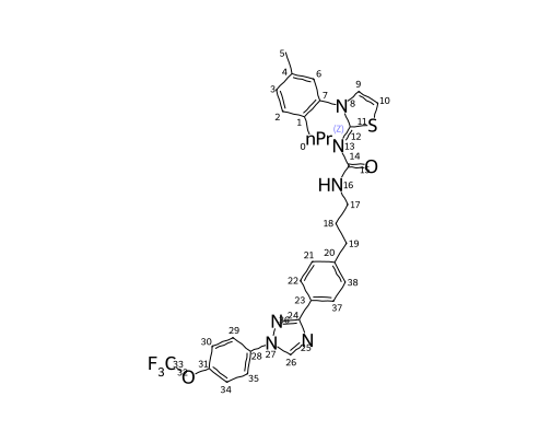 CCCc1ccc(C)cc1-n1ccs/c1=N\C(=O)NCCCc1ccc(-c2ncn(-c3ccc(OC(F)(F)F)cc3)n2)cc1